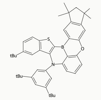 CC(C)(C)c1cc(N2c3cccc4c3B(c3cc5c(cc3O4)C(C)(C)CC5(C)C)c3sc4ccc(C(C)(C)C)cc4c32)cc(C(C)(C)C)c1